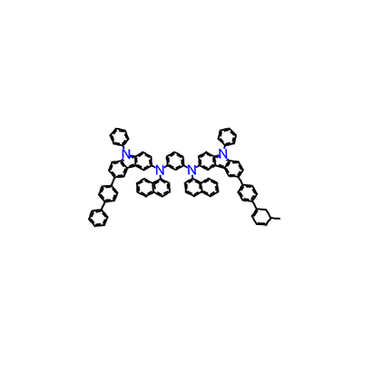 CC1C=CC=C(c2ccc(-c3ccc4c(c3)c3cc(N(c5cccc(N(c6ccc7c(c6)c6cc(-c8ccc(-c9ccccc9)cc8)ccc6n7-c6ccccc6)c6cccc7ccccc67)c5)c5cccc6ccccc56)ccc3n4-c3ccccc3)cc2)C1